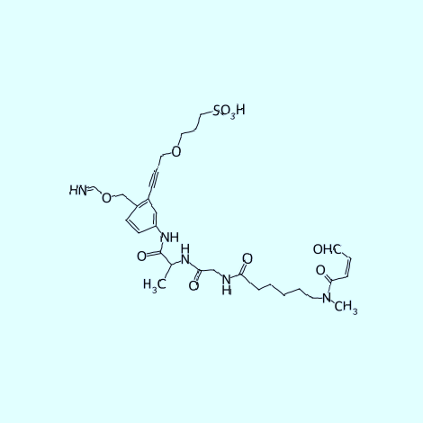 CC(NC(=O)CNC(=O)CCCCCN(C)C(=O)/C=C\C=O)C(=O)Nc1ccc(COC=N)c(C#CCOCCCS(=O)(=O)O)c1